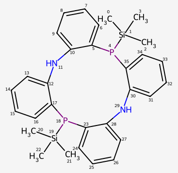 C[Si](C)(C)P1c2ccccc2Nc2ccccc2P([Si](C)(C)C)c2ccccc2Nc2ccccc21